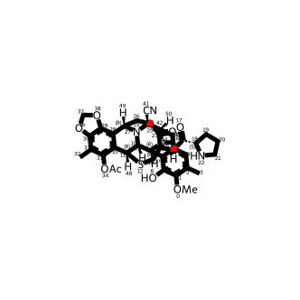 COc1c(C)cc2c(c1O)[C@@H]1[C@@H]3[C@@H]4SCC(NC(=O)[C@@H]5CCCN5)C(=O)OC[C@@H](c5c6c(c(C)c(OC(C)=O)c54)OCO6)N3[C@@H](C#N)[C@H](C2)N1C